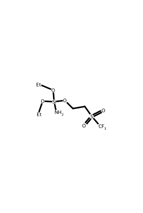 CCO[Si](N)(OCC)OCCS(=O)(=O)C(F)(F)F